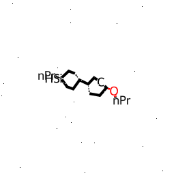 CCCO[C@H]1CC[C@H]([C@H]2CC[Si@H](CCC)CC2)CC1